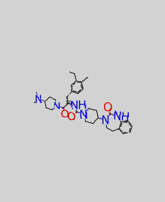 CCc1cc(C[C@@H](NC(=O)N2CCC(N3CCc4ccccc4NC3=O)CC2)C(=O)N2CCC(N(C)C)CC2)ccc1C